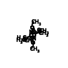 CCCc1ccc(C2=Nc3cc(C#C[Si](C)(C)C)c4c5c(cc(C#C[Si](C)(C)C)c(c35)O2)N=C(c2ccc(CCC)cc2)O4)cc1